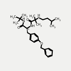 CC(C)CCNC(C)(C)C(=O)N[C@@H](Cc1ccc(OCc2ccccc2)cc1)C(=O)NC(C)(C)C